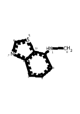 CNc1cccc2ncsc12